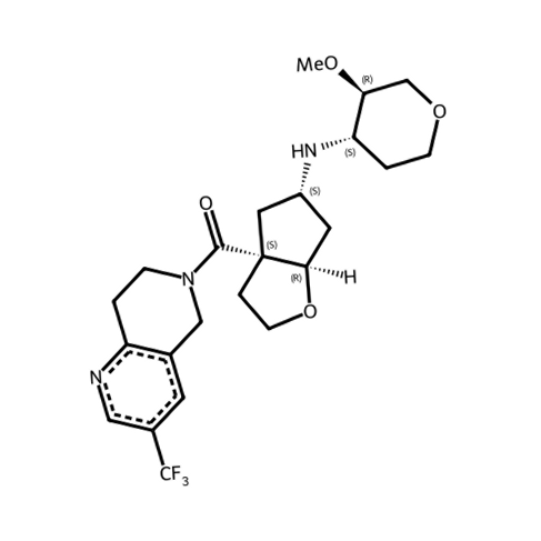 CO[C@H]1COCC[C@@H]1N[C@@H]1C[C@H]2OCC[C@@]2(C(=O)N2CCc3ncc(C(F)(F)F)cc3C2)C1